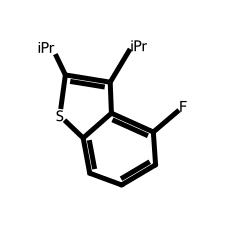 CC(C)c1sc2cccc(F)c2c1C(C)C